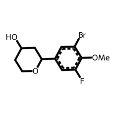 COc1c(F)cc(C2CC(O)CCO2)cc1Br